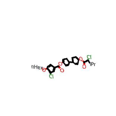 CCCCCCOc1ccc(C(=O)Oc2ccc(-c3ccc(OC(=O)C(Cl)C(C)C)cc3)cc2)cc1Cl